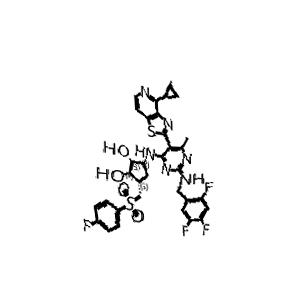 Cc1nc(NCc2cc(F)c(F)cc2F)nc(N[C@@H]2C[C@H](CS(=O)(=O)c3ccc(F)cc3)[C@@H](O)[C@H]2O)c1-c1nc2c(C3CC3)nccc2s1